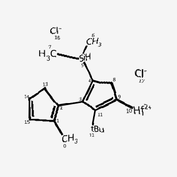 CC1=C(C2=C([SiH](C)C)C[C]([Hf+2])=C2C(C)(C)C)CC=C1.[Cl-].[Cl-]